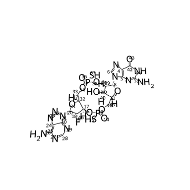 Nc1nc2c(ncn2[C@@H]2O[C@@H]3COP(=O)(S)O[C@H]4[C@H](F)[C@H](n5nnc6c(N)ncnc65)O[C@@H]4COP(=O)(S)O[C@H]2[C@@H]3O)c(=O)[nH]1